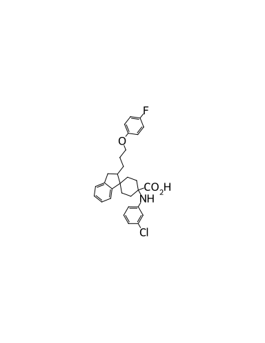 O=C(O)C1(Nc2cccc(Cl)c2)CCC2(CC1)c1ccccc1CC2CCCOc1ccc(F)cc1